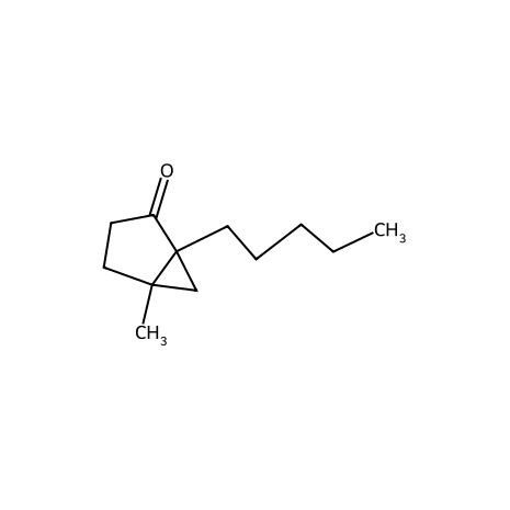 CCCCCC12CC1(C)CCC2=O